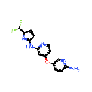 Nc1ccc(Oc2ccnc(NC3=NC(C(F)F)C=C3)c2)cn1